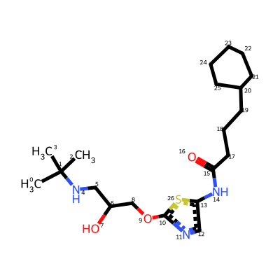 CC(C)(C)NCC(O)COc1ncc(NC(=O)CCCC2CCCCC2)s1